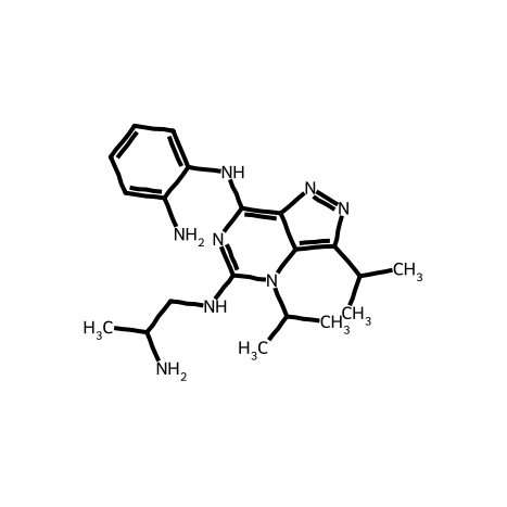 CC(N)CNc1nc(Nc2ccccc2N)c2nnc(C(C)C)c-2n1C(C)C